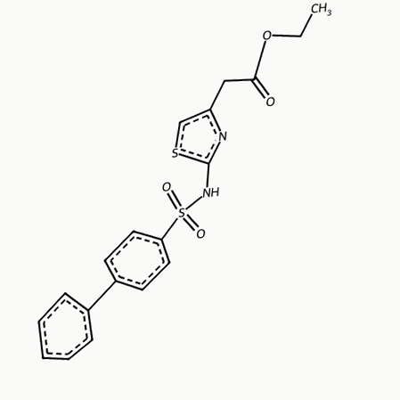 CCOC(=O)Cc1csc(NS(=O)(=O)c2ccc(-c3ccccc3)cc2)n1